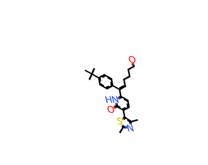 Cc1nc(C)c(-c2ccc(/C(=C/CCCC=O)c3ccc(C(C)(C)C)cc3)[nH]c2=O)s1